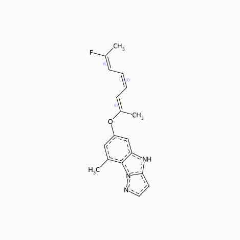 C\C(F)=C/C=C\C=C(/C)Oc1cc(C)c2c(c1)[nH]c1ccnn12